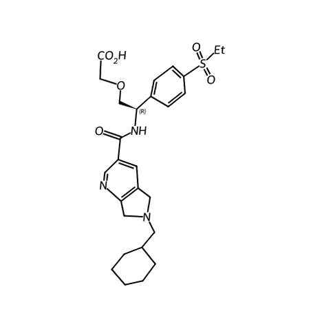 CCS(=O)(=O)c1ccc([C@H](COCC(=O)O)NC(=O)c2cnc3c(c2)CN(CC2CCCCC2)C3)cc1